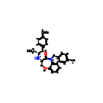 COc1ccc(C[C@H](N[C@H]2COc3ccccc3N(Cc3ccc(C(C)C)cc3)C2=O)C(=O)O)cc1